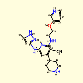 Cc1cc(Nc2cc(C3CCNCC3)c(C#N)c(NCCOc3cccnc3)n2)n[nH]1